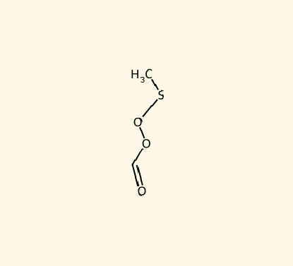 CSOOC=O